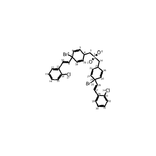 O=S(=O)(CC1C=CC(Br)(/C=C/c2ccccc2Cl)C=C1)CC1C=CC(Br)(/C=C/c2ccccc2Cl)C=C1